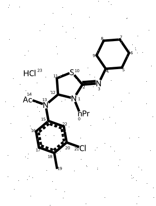 CCCN1C(=NC2CCCCC2)SCC1N(C(C)=O)c1ccc(C)c(Cl)c1.Cl